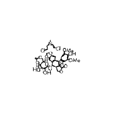 CN(CCCl)CCCl.COc1cc([C@@H]2c3cc4c(cc3C(O[C@@H]3O[C@@H]5CO[C@@H](C)O[C@H]5[C@H](O)[C@H]3O)C3COC(=O)[C@@H]32)OCO4)cc(OC)c1O